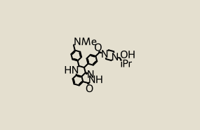 CNCc1ccc(C2Nc3cccc4c(=O)[nH]nc(c34)C2c2ccc(C(=O)N3CCN(C(O)C(C)C)CC3)cc2)cc1